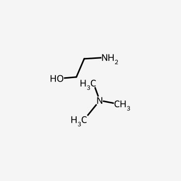 CN(C)C.NCCO